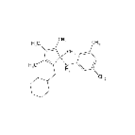 CC1=C(C)C(C)([SiH2]c2cc(C)cc(C)c2)C(CC2CCCCC2)=C1C